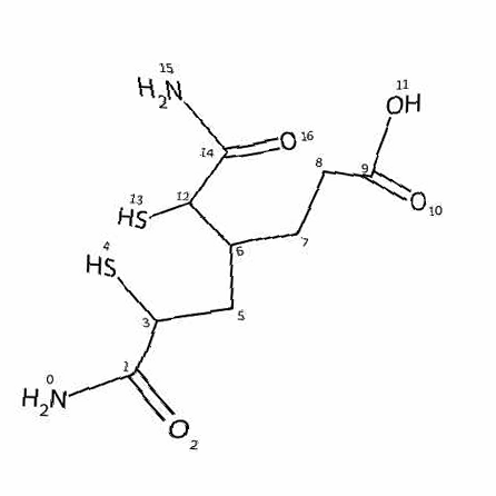 NC(=O)C(S)CC(CCC(=O)O)C(S)C(N)=O